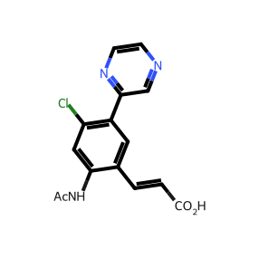 CC(=O)Nc1cc(Cl)c(-c2cnccn2)cc1/C=C/C(=O)O